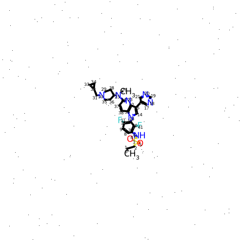 CCCS(=O)(=O)Nc1ccc(F)c(-n2cc(-c3cncnc3)c3nc(N(C)C4CCN(CC5CC5)CC4)ccc32)c1F